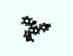 Nc1cccc(-c2ccc(C3CCNCC3)cc2CC(=O)c2ccccc2)n1